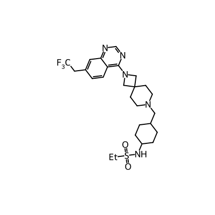 CCS(=O)(=O)NC1CCC(CN2CCC3(CC2)CN(c2ncnc4cc(CC(F)(F)F)ccc24)C3)CC1